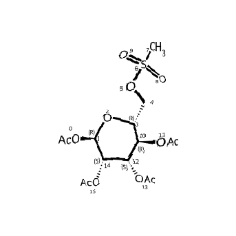 CC(=O)O[C@H]1O[C@H](COS(C)(=O)=O)[C@@H](OC(C)=O)[C@H](OC(C)=O)[C@@H]1OC(C)=O